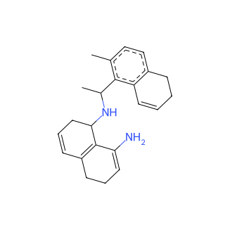 Cc1ccc2c(c1C(C)NC1CC=CC3=C1C(N)=CCC3)C=CCC2